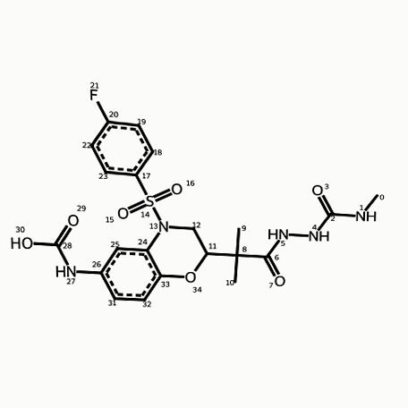 CNC(=O)NNC(=O)C(C)(C)C1CN(S(=O)(=O)c2ccc(F)cc2)c2cc(NC(=O)O)ccc2O1